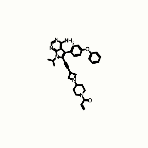 C=CC(=O)N1CCC(N2CC(C#Cc3c(-c4ccc(Oc5ccccc5)cc4)c4c(N)ncnc4n3C(C)C)C2)CC1